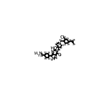 Cn1nc2c(=O)n(CC3(O)CCN(Cc4ccc(C5CC5)cc4Cl)CC3)cnc2c1-c1ccc(CN)cc1